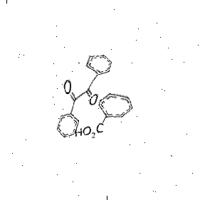 O=C(C(=O)c1ccccc1)c1ccccc1.O=C(O)c1ccccc1